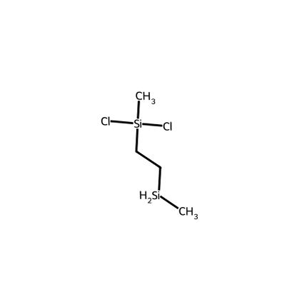 C[SiH2]CC[Si](C)(Cl)Cl